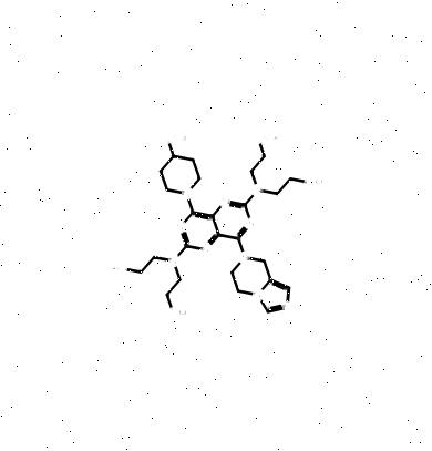 COCCN(CCOC)c1nc(N2CCn3cncc3C2)c2nc(N(CCOC)CCOC)nc(N3CCC(OC)CC3)c2n1